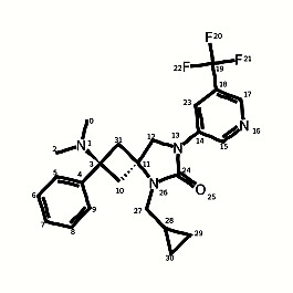 CN(C)[C@]1(c2ccccc2)C[C@@]2(CN(c3cncc(C(F)(F)F)c3)C(=O)N2CC2CC2)C1